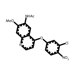 COc1cc2nccc(Oc3ccc([N+](=O)[O-])c(Cl)c3)c2cc1NC(C)=O